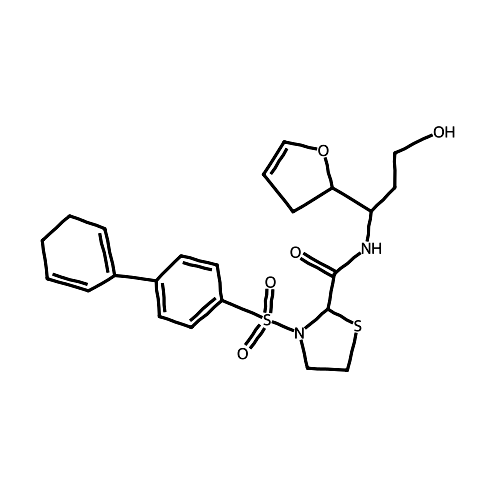 O=C(NC(CCO)C1CC=CO1)C1SCCN1S(=O)(=O)c1ccc(C2=CCCC=C2)cc1